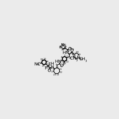 C[C@@H](c1ccc(NC(=O)CC2CCCCCC2NC(=O)C(F)(F)c2cccc(C#N)c2)c(F)c1)[C@@H](NC(=O)c1cnns1)C(=O)N1CCN(C)CC1